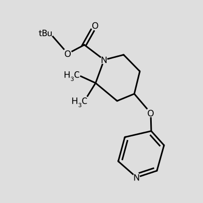 CC(C)(C)OC(=O)N1CCC(Oc2ccncc2)CC1(C)C